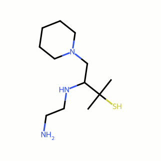 CC(C)(S)C(CN1CCCCC1)NCCN